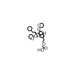 O=C(O)COCCC1=C[C@@H]2C[C@@H](OC3CCCCO3)[C@H](C(=CCC3CCCCC3)OC3CCCCO3)[C@@H]2C1